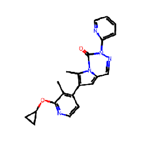 Cc1c(-c2cc3cnn(-c4ccccn4)c(=O)n3c2C)ccnc1OC1CC1